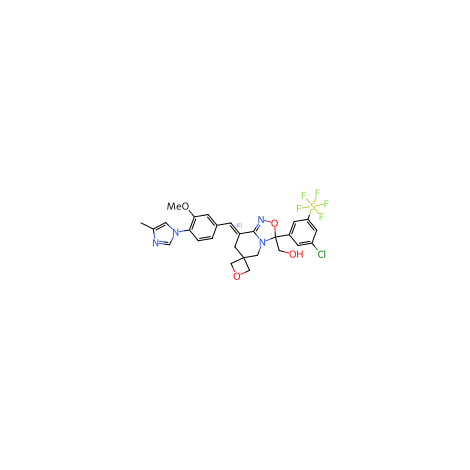 COc1cc(/C=C2\CC3(COC3)CN3C2=NOC3(CO)c2cc(Cl)cc(S(F)(F)(F)(F)F)c2)ccc1-n1cnc(C)c1